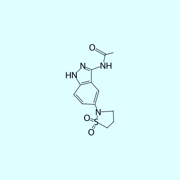 CC(=O)Nc1n[nH]c2ccc(N3CCCS3(=O)=O)cc12